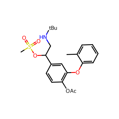 CC(=O)Oc1ccc(C(CNC(C)(C)C)OS(C)(=O)=O)cc1Oc1ccccc1C